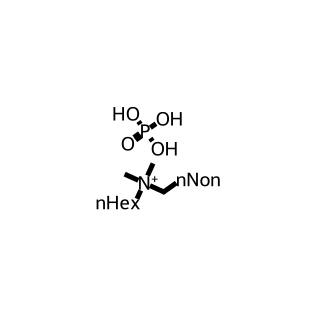 CCCCCCCCCC[N+](C)(C)CCCCCC.O=P(O)(O)O